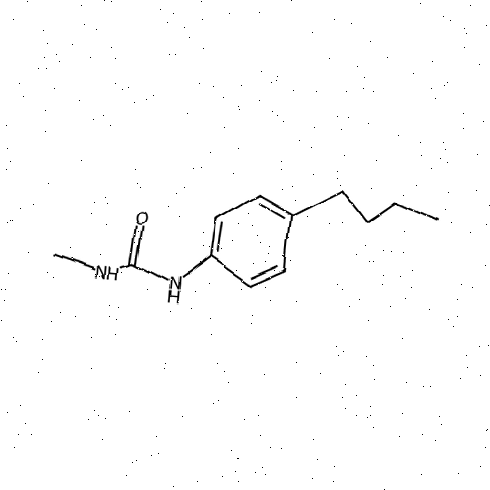 CCCCc1ccc(NC(=O)NC)cc1